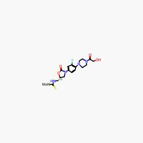 CNC(=S)NC[C@H]1CN(c2ccc(N3CCN(C(=O)CO)CC3)c(F)c2)C(=O)O1